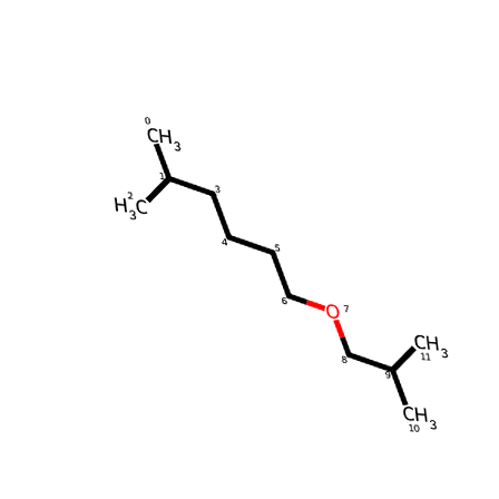 CC(C)CCCCOCC(C)C